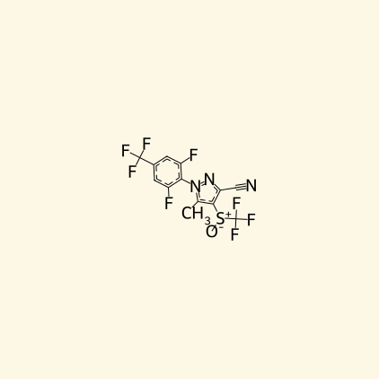 Cc1c([S+]([O-])C(F)(F)F)c(C#N)nn1-c1c(F)cc(C(F)(F)F)cc1F